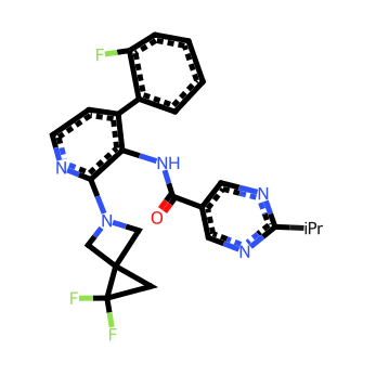 CC(C)c1ncc(C(=O)Nc2c(-c3ccccc3F)ccnc2N2CC3(C2)CC3(F)F)cn1